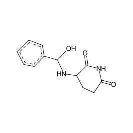 O=C1CCC(NC(O)c2ccccc2)C(=O)N1